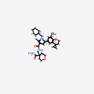 Cc1c(C(=O)NCC2(C(N)=O)CCOCC2)cc(-c2cc(C(C)(C)C)c3c(c2)C2(CCO3)CC2)n1CC1CCCCC1